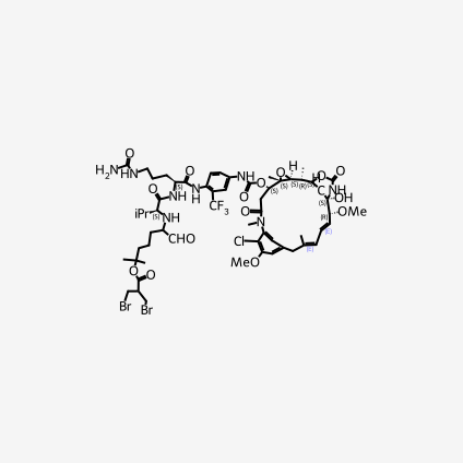 COc1cc2cc(c1Cl)N(C)C(=O)C[C@H](OC(=O)Nc1ccc(NC(=O)[C@H](CCCNC(N)=O)NC(=O)[C@@H](NC(C=O)CCCC(C)(C)OC(=O)C(CBr)CBr)C(C)C)c(C(F)(F)F)c1)[C@]1(C)O[C@H]1[C@H](C)[C@@H]1C[C@@](O)(NC(=O)O1)[C@H](OC)/C=C/C=C(\C)C2